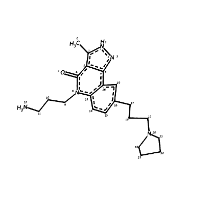 Cc1[nH]nc2c1c(=O)n(CCCN)c1ccc(CCCN3CCCC3)cc21